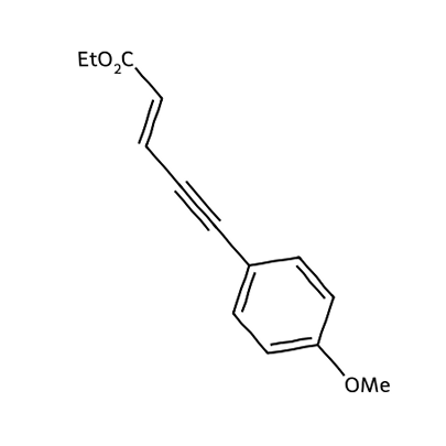 CCOC(=O)C=CC#Cc1ccc(OC)cc1